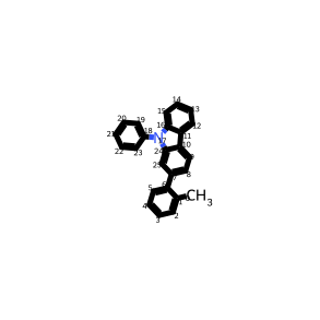 Cc1ccccc1-c1ccc2c3ccccc3n(-c3ccccc3)c2c1